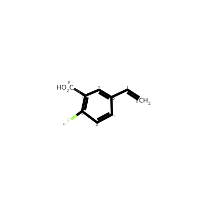 C=Cc1ccc(F)c(C(=O)O)c1